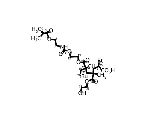 C=C(C)C(=O)OCCNC(=O)OCCOC(=O)C(C)(CC(C)(C)C)CC(C)(CC(CC)C(=O)O)C(=O)OCCO